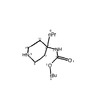 CCCC1(NC(=O)OC(C)(C)C)CCNCC1